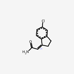 NC(=O)/C=C1/CCc2cc(Cl)ccc21